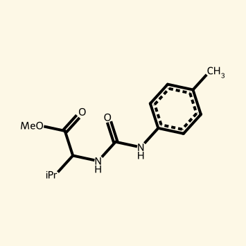 COC(=O)C(NC(=O)Nc1ccc(C)cc1)C(C)C